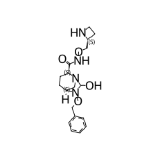 O=C(NOC[C@@H]1CCN1)[C@@H]1CC[C@H]2CN1C(O)N2OCc1ccccc1